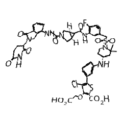 CC1(C)C[C@H](Nc2cccc(-c3sc(C(=O)O)c(OCC(=O)O)c3Cl)c2)CCN1S(=O)(=O)Cc1ccc(F)c(NC(=O)C2[C@H]3CN(C(=O)CNc4cccc5c4CN(C4CCC(=O)NC4=O)C5=O)C[C@@H]23)c1